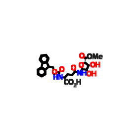 COC(=O)[C@H]1OC(NC(=O)CC[C@H](NC(=O)OCC2c3ccccc3-c3ccccc32)C(=O)O)[C@H](O)[C@@H]1O